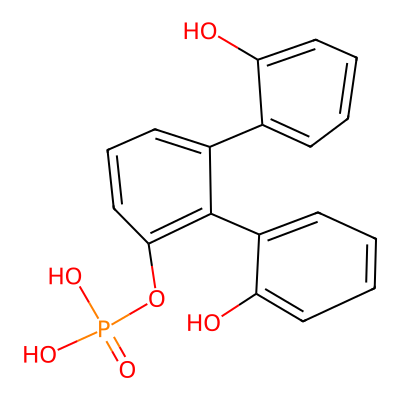 O=P(O)(O)Oc1cccc(-c2ccccc2O)c1-c1ccccc1O